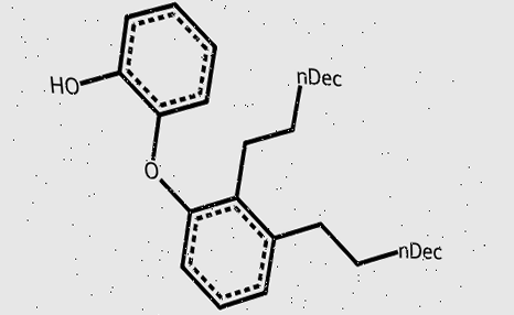 CCCCCCCCCCCCc1cccc(Oc2ccccc2O)c1CCCCCCCCCCCC